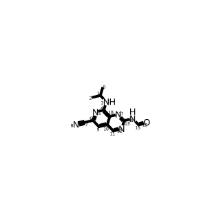 CC(C)Nc1nc(C#N)cc2cnc(NC=O)nc12